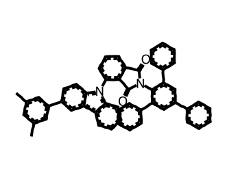 Cc1cc(C)cc(-c2ccc3c(c2)c2ccccc2n3-c2cccc3c2C(=O)N(c2c(-c4ccccc4)cc(-c4ccccc4)cc2-c2ccccc2)C3=O)c1